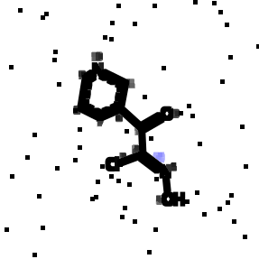 O=C(/C(Cl)=N/O)c1cccnc1